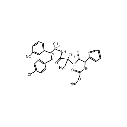 C[C@H](NC(=O)C(C)(C)OC(=O)C(NC(=O)OC(C)(C)C)c1ccccc1)[C@@H](Cc1ccc(Cl)cc1)c1cccc(C#N)c1